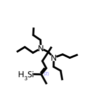 CCCN(CCC)C(C)(C/C=C(/C)[SiH3])N(CCC)CCC